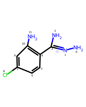 N/N=C(\N)c1ccc(Cl)cc1N